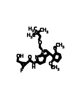 COc1cccc(OC)c1-c1cn(COCC[Si](C)(C)C)c2nc(NC(=O)C3C(F)C3CO)ccc12